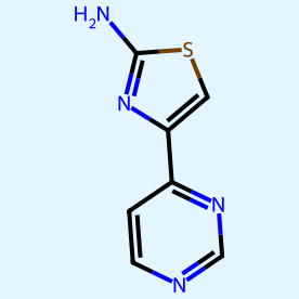 Nc1nc(-c2ccncn2)cs1